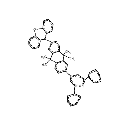 CC1(C)c2ccc(N3c4ccccc4Oc4ccccc43)cc2C(C)(C)c2ccc(-c3cc(-c4ccccc4)nc(-c4ccccc4)n3)cc21